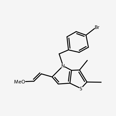 CO/C=C/c1cc2sc(C)c(C)c2n1Cc1ccc(Br)cc1